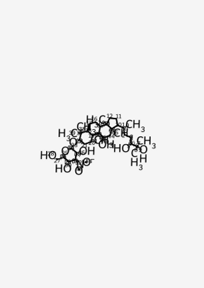 C[C@H](CC[C@@H](O)C(C)(C)O)C1CC[C@@]2(C)C3CC=C4C(CC[C@H](O[C@@H]5O[C@H](CO)[C@@H](O)[C@H]([N+](=O)[O-])[C@H]5O)C4(C)C)[C@]3(C)[C@H](O)C[C@]12C